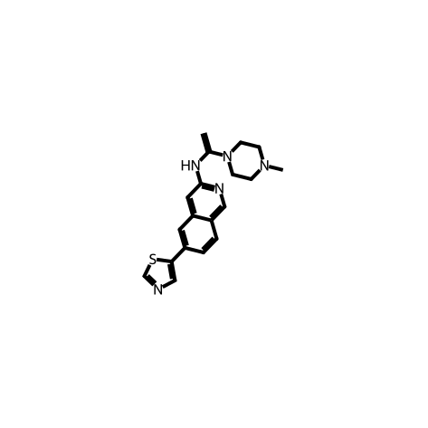 C=C(Nc1cc2cc(-c3cncs3)ccc2cn1)N1CCN(C)CC1